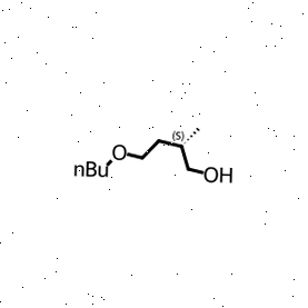 CCCCOCC[C@H](C)CO